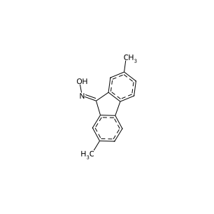 Cc1ccc2c(c1)C(=NO)c1cc(C)ccc1-2